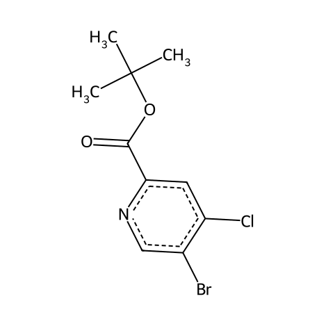 CC(C)(C)OC(=O)c1cc(Cl)c(Br)cn1